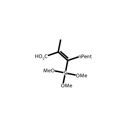 CCCCCC(=C(C)C(=O)O)[Si](OC)(OC)OC